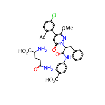 COc1nn(C(Cc2ccccc2)C(=O)Nc2ccc(C(=O)O)cc2)c(=O)cc1-c1cc(Cl)ccc1C(C)=O.NC(=O)CCC(N)C(=O)O